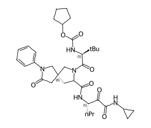 CCC[C@H](NC(=O)C1C[C@@]2(CC(=O)N(c3ccccc3)C2)CN1C(=O)[C@@H](NC(=O)OC1CCCC1)C(C)(C)C)C(=O)C(=O)NC1CC1